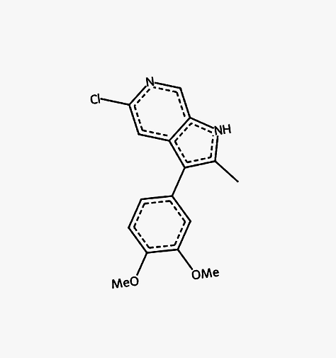 COc1ccc(-c2c(C)[nH]c3cnc(Cl)cc23)cc1OC